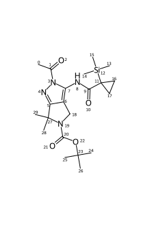 CC(=O)n1nc2c(c1NC(=O)C1([Si](C)(C)C)CC1)CN(C(=O)OC(C)(C)C)C2(C)C